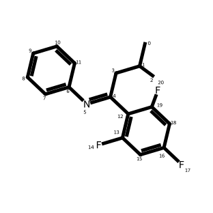 CC(C)CC(=Nc1ccccc1)c1c(F)cc(F)cc1F